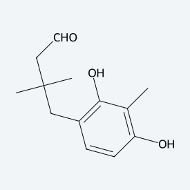 Cc1c(O)ccc(CC(C)(C)CC=O)c1O